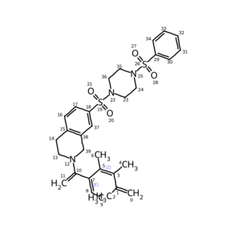 C=C(C)/C(C)=C(C)\C(=C/C)C(=C)N1CCc2ccc(S(=O)(=O)N3CCN(S(=O)(=O)c4ccccc4)CC3)cc2C1